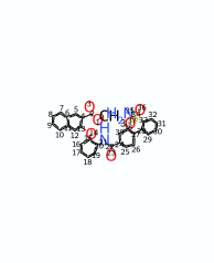 COC(=O)c1cc2ccccc2cc1Oc1ccccc1NC(=O)c1ccc(-c2ccccc2S(N)(=O)=O)cc1